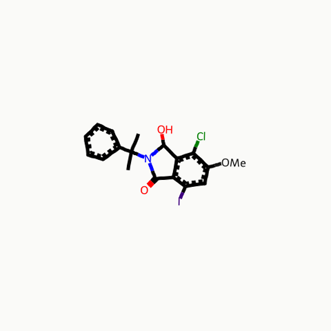 COc1cc(I)c2c(c1Cl)C(O)N(C(C)(C)c1ccccc1)C2=O